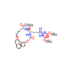 COC(=O)[C@@H]1C/C=C/COc2ccc3ccccc3c2-c2c(ccc3ccccc23)OCC(=O)N[C@H](CCCCN/C(=N/C(=O)OC(C)(C)C)NC(=O)OC(C)(C)C)C(=O)N1